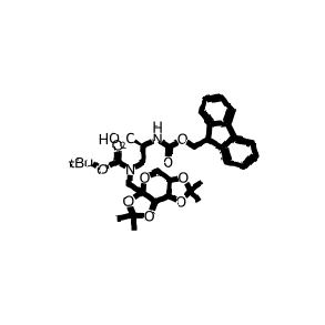 CC(C)(C)OC(=O)N(C[C@H](NC(=O)OCC1c2ccccc2-c2ccccc21)C(=O)O)CC12OCC3OC(C)(C)OC3C1OC(C)(C)O2